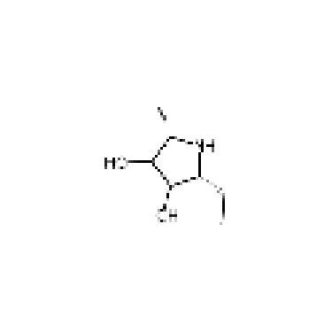 CC[C@H]1N[C@@H](C)C(O)C1O